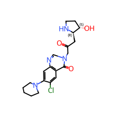 O=C(C[C@H]1NCC[C@@H]1O)Cn1cnc2cc(N3CCCCC3)c(Cl)cc2c1=O